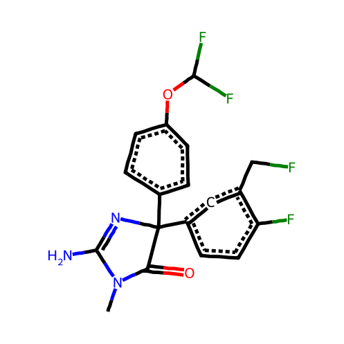 CN1C(=O)C(c2ccc(OC(F)F)cc2)(c2ccc(F)c(CF)c2)N=C1N